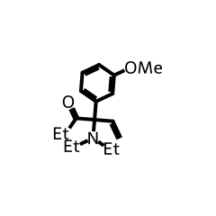 C=CC(C(=O)CC)(c1cccc(OC)c1)N(CC)CC